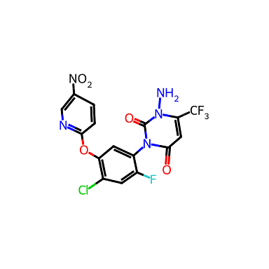 Nn1c(C(F)(F)F)cc(=O)n(-c2cc(Oc3ccc([N+](=O)[O-])cn3)c(Cl)cc2F)c1=O